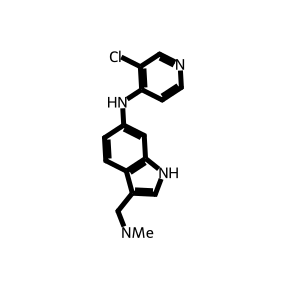 CNCc1c[nH]c2cc(Nc3ccncc3Cl)ccc12